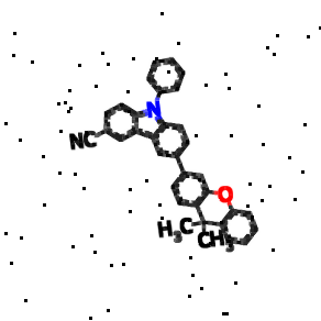 CC1(C)c2ccccc2Oc2cc(-c3ccc4c(c3)c3cc(C#N)ccc3n4-c3ccccc3)ccc21